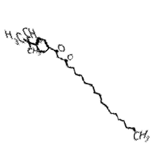 CCCCCCCCCCCCCCCCCC(=O)CC(=O)c1ccc(C(C)(C)C)cc1